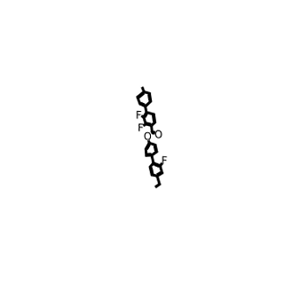 CCc1ccc(-c2ccc(OC(=O)c3ccc(-c4ccc(C)cc4)c(F)c3F)cc2)c(F)c1